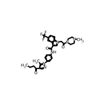 CCCC(=O)c1cnn(-c2ccc(NC(=O)c3cn(CC(=O)N4CCN(C)CC4)c4ccc(C(F)(F)F)cc34)cc2)c1C